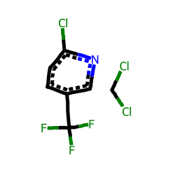 ClCCl.FC(F)(F)c1ccc(Cl)nc1